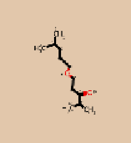 CC(C)CCCOCCC(=O)C(C)C